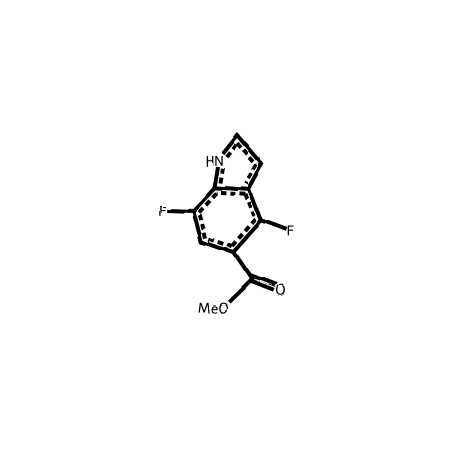 COC(=O)c1cc(F)c2[nH]ccc2c1F